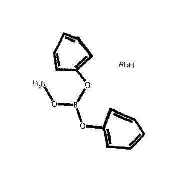 BOB(Oc1ccccc1)Oc1ccccc1.[RbH]